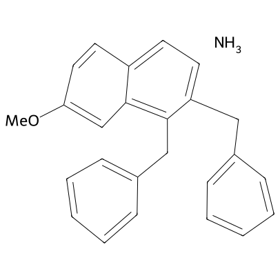 COc1ccc2ccc(Cc3ccccc3)c(Cc3ccccc3)c2c1.N